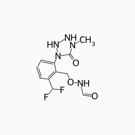 CN1NNN(c2cccc(C(F)F)c2CONC=O)C1=O